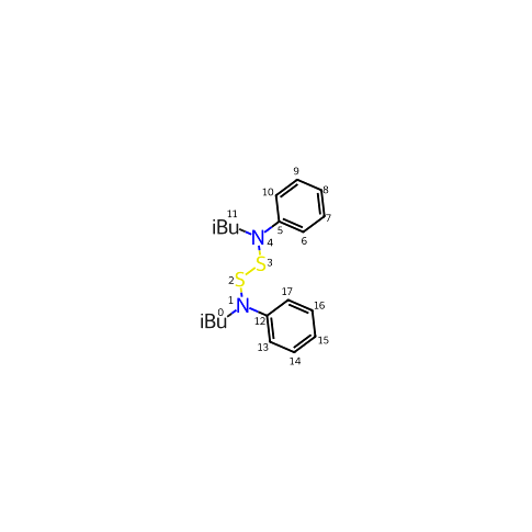 CCC(C)N(SSN(c1ccccc1)C(C)CC)c1ccccc1